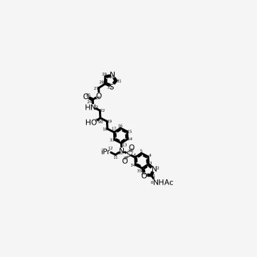 CC(=O)Nc1nc2ccc(S(=O)(=O)N(CC(C)C)c3cccc(CCC(O)CNC(=O)OCc4cncs4)c3)cc2o1